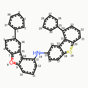 c1ccc(-c2ccc3oc4cccc(Nc5ccc6sc7cccc(-c8ccccc8)c7c6c5)c4c3c2)cc1